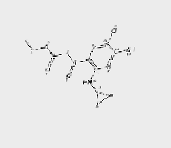 CCOC(=O)CC(=O)c1cc(Cl)c(O)nc1NC1CC1